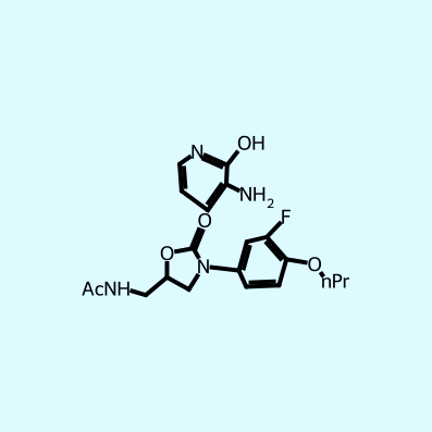 CCCOc1ccc(N2CC(CNC(C)=O)OC2=O)cc1F.Nc1cccnc1O